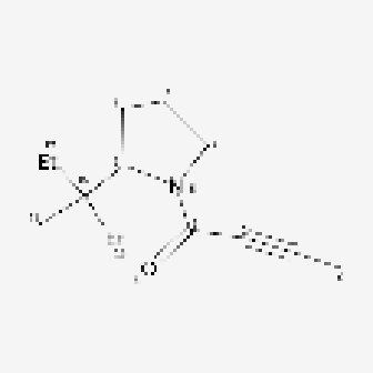 CC#CC(=O)N1CCCC1C(C)(CC)CC